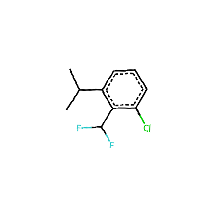 CC(C)c1cccc(Cl)c1C(F)F